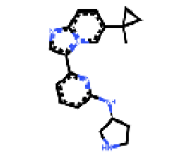 CC1(c2ccc3ncc(-c4cccc(N[C@H]5CCNC5)n4)n3c2)CC1